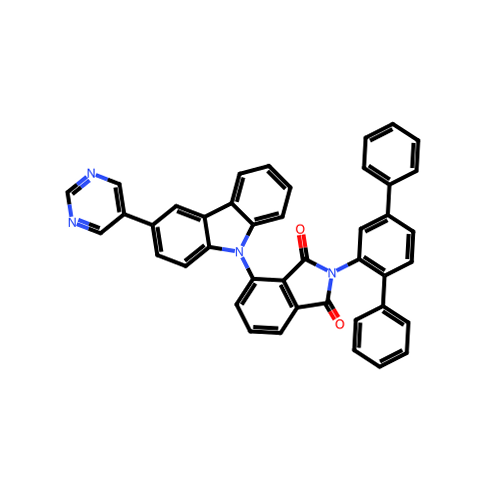 O=C1c2cccc(-n3c4ccccc4c4cc(-c5cncnc5)ccc43)c2C(=O)N1c1cc(-c2ccccc2)ccc1-c1ccccc1